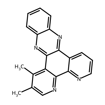 Cc1cnc2c3ncccc3c3nc4ccccc4nc3c2c1C